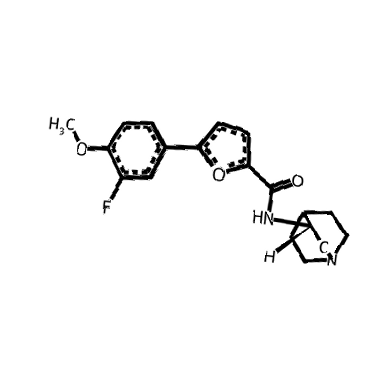 COc1ccc(-c2ccc(C(=O)N[C@H]3CN4CCC3CC4)o2)cc1F